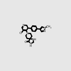 Cn1cc(-c2ccc(C3CN=CC(Cl)=C3N3CCC4(CC3)NCNC4=O)cc2)cn1